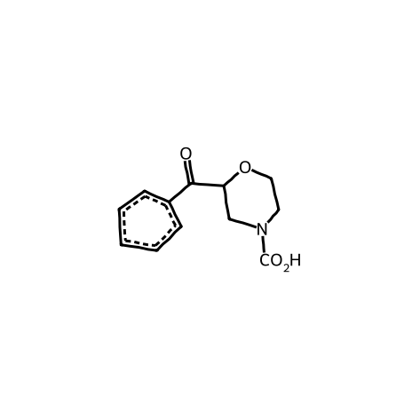 O=C(c1ccccc1)C1CN(C(=O)O)CCO1